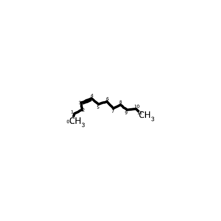 CCC/C=C\CCCCCCC